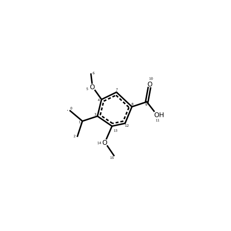 [CH2]C(C)c1c(OC)cc(C(=O)O)cc1OC